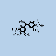 COc1c(C)cc(C(CBr)c2cc(C)c(OC)c(C)c2)cc1C